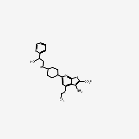 Nc1c(C(=O)O)sc2nc(N3CCC(NCC(O)c4ccccn4)CC3)cc(OCC(F)(F)F)c12